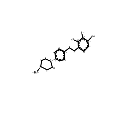 CCCC[C@H]1CC[C@H](c2ccc(CCc3ccc(F)c(F)c3F)cc2)CC1